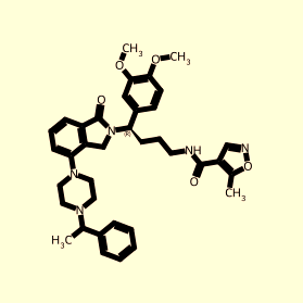 COc1ccc([C@@H](CCCNC(=O)c2cnoc2C)N2Cc3c(cccc3N3CCN(C(C)c4ccccc4)CC3)C2=O)cc1OC